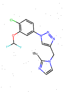 CC(C)(C)c1nccn1Cc1cn(-c2ccc(Cl)c(OC(F)F)c2)nn1